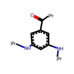 CC(C)Nc1cc(NC(C)C)cc(C(=O)C(C)C)c1